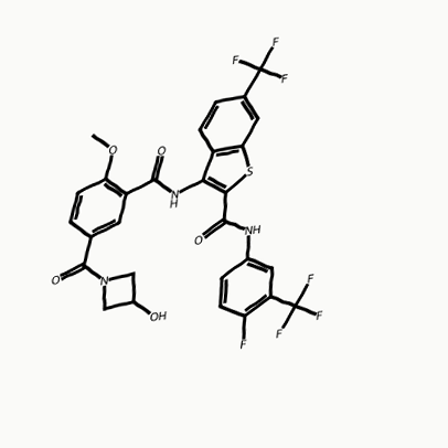 COc1ccc(C(=O)N2CC(O)C2)cc1C(=O)Nc1c(C(=O)Nc2ccc(F)c(C(F)(F)F)c2)sc2cc(C(F)(F)F)ccc12